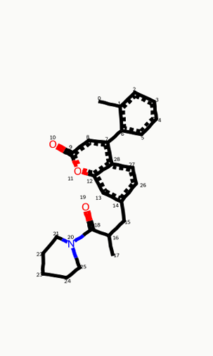 Cc1ccccc1-c1cc(=O)oc2cc(CC(C)C(=O)N3CCCCC3)ccc12